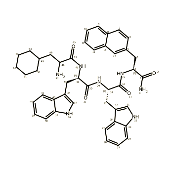 NC(=O)[C@H](Cc1ccc2ccccc2c1)NC(=O)[C@H](Cc1c[nH]c2ccccc12)NC(=O)[C@@H](Cc1c[nH]c2ccccc12)NC(=O)C(N)CC1CCCCC1